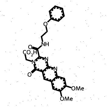 COc1cc2cc3c(=O)n(CC(=O)O)c(C(=O)NCCOc4ccccc4)nc3nc2cc1OC